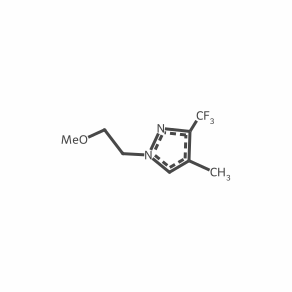 COCCn1cc(C)c(C(F)(F)F)n1